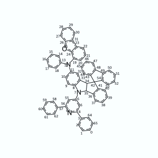 c1ccc(-c2cc(N3c4ccc(N(c5ccccc5)c5cccc6c5oc5ccccc56)cc4C4C3c3ccccc3C43c4ccccc4-c4ccccc43)cc(-c3ccccc3)n2)cc1